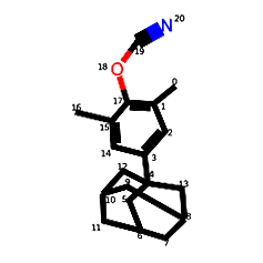 Cc1cc(C23CC4CC(CC(C4)C2)C3)cc(C)c1OC#N